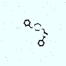 COc1ccccc1CN1CCCN(Cc2csc(-c3ccccc3)n2)CC1